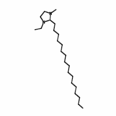 CCCCCCCCCCCCCCCCCC1N(C)CCN1CC